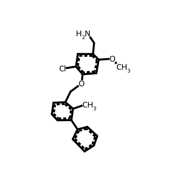 COc1cc(OCc2cccc(-c3ccccc3)c2C)c(Cl)cc1CN